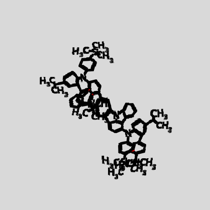 CC(C)c1ccc(N(c2ccc([Si](C)(C)C)cc2)c2ccc3c4cc5c(cc4n4c6ccccc6c2c34)c2ccc(N(c3ccc([Si](C)(C)C)cc3)c3ccc(C(C)C)cc3-c3ccc(C(C)(C)C)cc3)c3c4ccccc4n5c23)c(-c2ccc(C(C)(C)C)cc2)c1